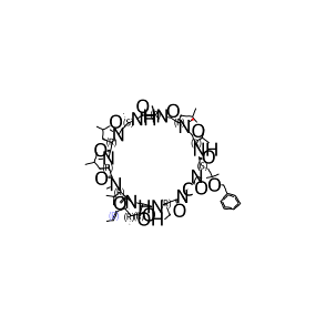 C/C=C/C[C@@H](C)[C@@H](O)C1C(=O)N[C@H](CC)C(=O)N(C)CC(=O)N(C)[C@@H](CC(C)(C)OCc2ccccc2)C(=O)N[C@H](C(C)C)C(=O)N(C)[C@H](CC(C)C)C(=O)N[C@H](C)C(=O)N[C@@H](C)C(=O)N(C)[C@H](CC(C)C)C(=O)N(C)[C@H](CC(C)C)C(=O)N(C)[C@H](C(C)C)C(=O)N1C